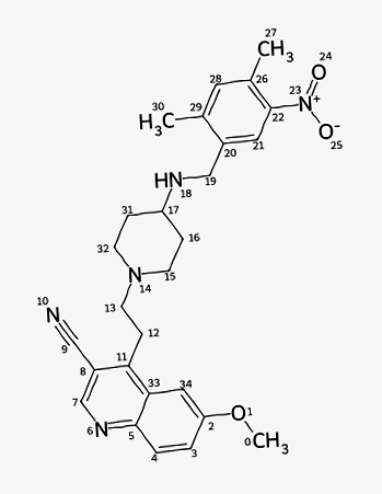 COc1ccc2ncc(C#N)c(CCN3CCC(NCc4cc([N+](=O)[O-])c(C)cc4C)CC3)c2c1